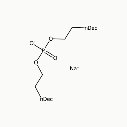 CCCCCCCCCCCCOP(=O)([O-])OCCCCCCCCCCCC.[Na+]